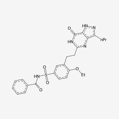 CCCc1n[nH]c2c(=O)[nH]c(CCc3cc(S(=O)(=O)NC(=O)c4ccccc4)ccc3OCC)nc12